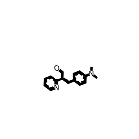 CN(C)c1ccc(C=C(C=O)c2ccccn2)cc1